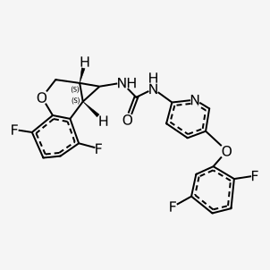 O=C(Nc1ccc(Oc2cc(F)ccc2F)cn1)NC1[C@H]2COc3c(F)ccc(F)c3[C@@H]12